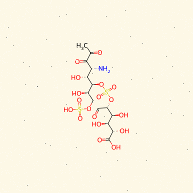 CC(=O)C(=O)[C@H](N)[C@@H](O)[C@@H](OS(=O)(=O)O[C@@H](C=O)[C@@H](O)[C@H](O)[C@H](O)C(=O)O)[C@H](O)COS(=O)(=O)O